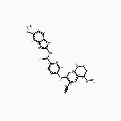 COc1ccc2nc(NC(=O)c3ccc(Oc4cc5c(cc4C#N)C(C=O)CCO5)cc3)sc2c1